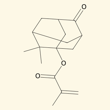 C=C(C)C(=O)OC12CC3CC(CC(C1)C3=O)C2(C)C